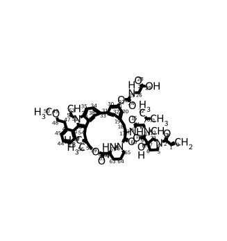 C=CC(=O)N1CC[C@](O)(C(=O)N(C)[C@H](C(=O)N[C@H]2Cc3cc(OC(=O)NCC(=O)O)cc(c3)-c3ccc4c(c3)c(c(-c3ccccc3CCOC)n4CC)CC(C)(C)COC(=O)[C@@H]3CCCN(N3)C2=O)C(C)C)C1